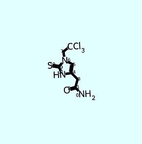 NC(=O)Cc1cn(CC(Cl)(Cl)Cl)c(=S)[nH]1